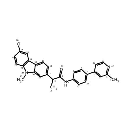 Cc1cc(-c2ccc(NC(=O)C(C)c3ccc4c5cc(Cl)ccc5n(C)c4c3)cc2)ccn1